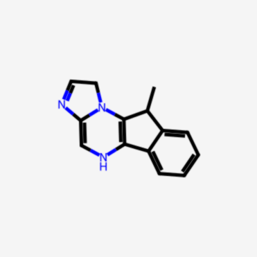 CC1C2=C(NC=C3N=CCN32)c2ccccc21